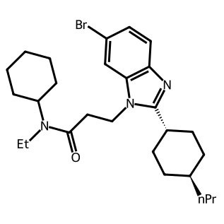 CCC[C@H]1CC[C@H](c2nc3ccc(Br)cc3n2CCC(=O)N(CC)C2CCCCC2)CC1